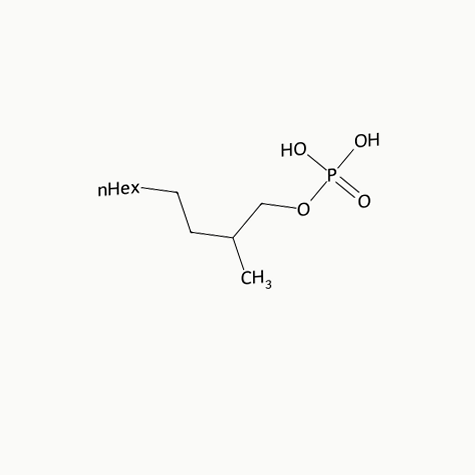 CCCCCCCCC(C)COP(=O)(O)O